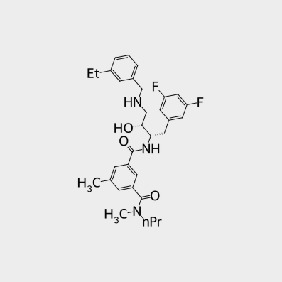 CCCN(C)C(=O)c1cc(C)cc(C(=O)N[C@@H](Cc2cc(F)cc(F)c2)[C@H](O)CNCc2cccc(CC)c2)c1